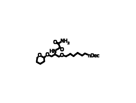 CCCCCCCCCCCCCCCCOCC(COC1CCCCO1)NC(=O)C(N)=O